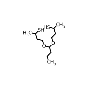 CCCC(OCCC(C)S)OCCC(C)S